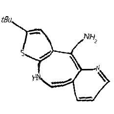 CC(C)(C)c1cc2c(s1)NC=c1cccnc1=C2N